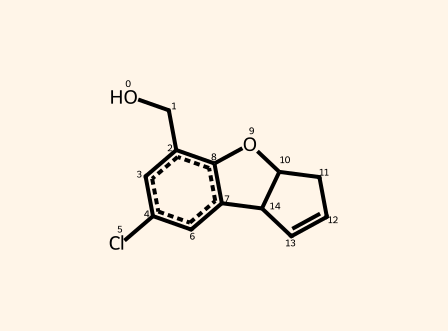 OCc1cc(Cl)cc2c1OC1CC=CC21